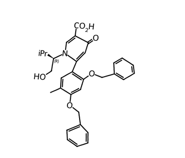 Cc1cc(-c2cc(=O)c(C(=O)O)cn2[C@@H](CO)C(C)C)c(OCc2ccccc2)cc1OCc1ccccc1